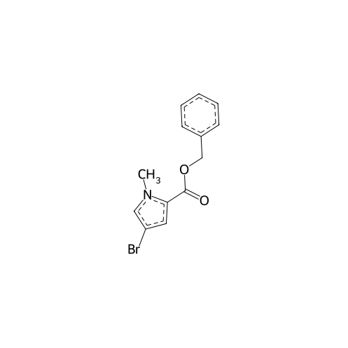 Cn1cc(Br)cc1C(=O)OCc1ccccc1